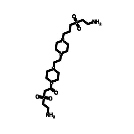 NCCS(=O)(=O)CCCN1CCN(CCN2CCN(C(=O)CS(=O)(=O)CCN)CC2)CC1